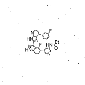 CCC(=O)Nc1cncc(-c2ccc3[nH]nc(-c4nc5c(-c6cccc(F)c6)ccnc5[nH]4)c3c2F)c1